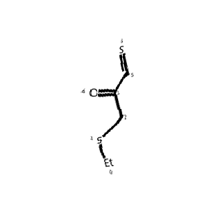 CCSCC(=O)[C]=S